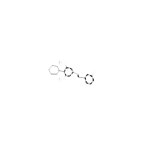 Oc1cc(/C=C/c2cccc(F)c2)cc(O)c1C1CCCCC1